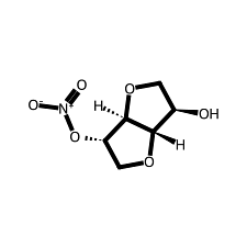 O=[N+]([O-])O[C@H]1CO[C@@H]2[C@@H]1OC[C@H]2O